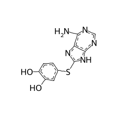 Nc1ncnc2[nH]c(Sc3ccc(O)c(O)c3)nc12